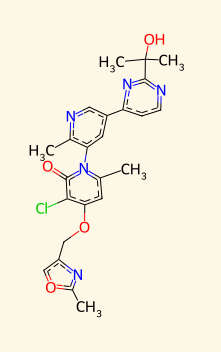 Cc1nc(COc2cc(C)n(-c3cc(-c4ccnc(C(C)(C)O)n4)cnc3C)c(=O)c2Cl)co1